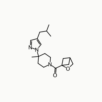 CC(C)Cc1cnn(C2(C)CCN(C(=O)C34CC(CO3)C4)CC2)c1